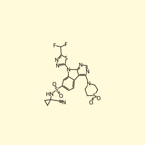 N#CC1(NS(=O)(=O)c2ccc3c4c(N5CCS(=O)(=O)CC5)ncnc4n(-c4nnc(C(F)F)s4)c3c2)CC1